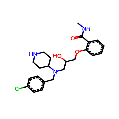 CNC(=O)c1ccccc1OCC(O)CN(Cc1ccc(Cl)cc1)C1CCNCC1